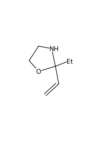 C=CC1(CC)NCCO1